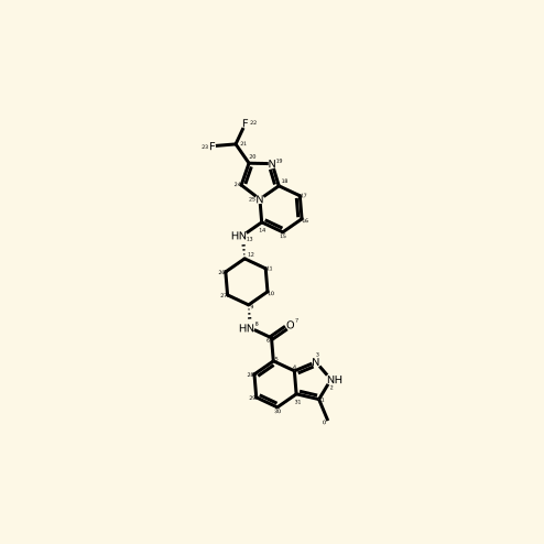 Cc1[nH]nc2c(C(=O)N[C@H]3CC[C@@H](Nc4cccc5nc(C(F)F)cn45)CC3)cccc12